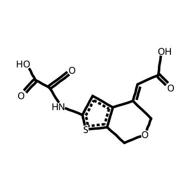 O=C(O)C=C1COCc2sc(NC(=O)C(=O)O)cc21